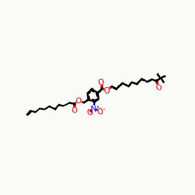 C=CCCCCCCCCC(=O)OCc1ccc(C(=O)OCCCCCCCCCC(=O)C(C)(C)C)cc1[N+](=O)[O-]